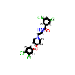 O=C(NCCN1CCC(Oc2ccc(Cl)c(Cl)c2)CC1)c1cc(Cl)cc(Cl)c1